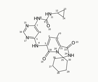 Cc1cc(Nc2cc(NC(=O)NC3CC3)ncn2)c(=O)n2c1C(=O)NC21CCCCC1